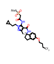 CNS(=O)(=O)CC(=O)Nc1c2c(nn1CCC1CC1)C[C@]1(CCc3cc(OCCCC(F)(F)F)ccc31)NC2=O